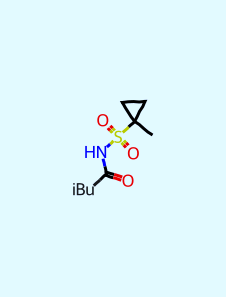 CCC(C)C(=O)NS(=O)(=O)C1(C)CC1